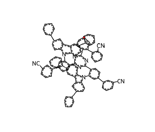 N#Cc1cccc(-c2ccc(-c3nc(-c4ccccc4-c4ccccc4C#N)nc(-c4ccc(-c5cccc(C#N)c5)cc4-n4c5ccc(-c6ccccc6)cc5c5cc(-c6ccccc6)ccc54)n3)c(-n3c4ccc(-c5ccccc5)cc4c4cc(-c5ccccc5)ccc43)c2)c1